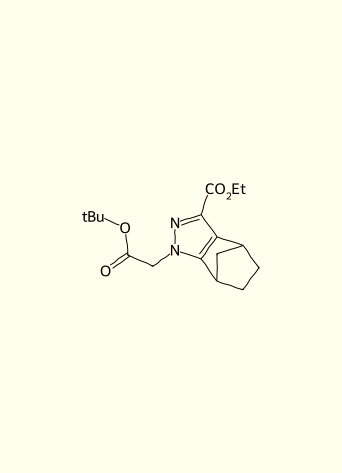 CCOC(=O)c1nn(CC(=O)OC(C)(C)C)c2c1C1CCC2C1